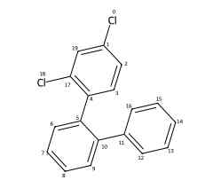 Clc1ccc(-c2c[c]ccc2-c2ccccc2)c(Cl)c1